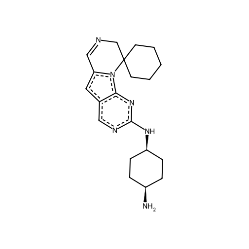 N[C@H]1CC[C@@H](Nc2ncc3cc4n(c3n2)C2(CCCCC2)CN=C4)CC1